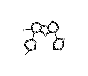 Cc1ccc(-c2c(F)ccc3c2oc2c(-c4ccccn4)cccc23)cc1